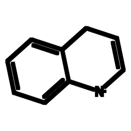 C1=C[N]c2ccccc2C1